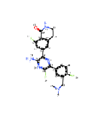 CN(C)Cc1cc(-c2nc(-c3cc(F)c4c(c3)CCNC4=O)c(N)nc2F)ccc1F